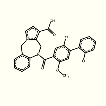 COc1cc(-c2ccccc2Cl)c(Cl)cc1C(=O)N1Cc2c(C(=O)O)ccn2Cc2ccccc21